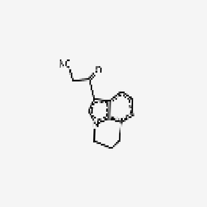 N#CCC(=O)c1cn2c3c(cccc13)CCC2